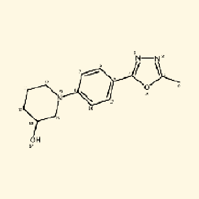 Cc1nnc(-c2ccc(N3CCCC(O)C3)cc2)o1